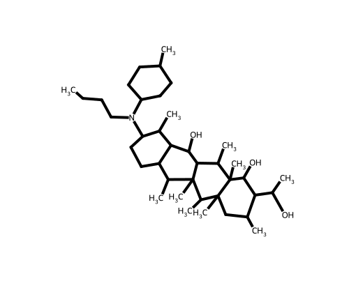 CCCCN(C1CCC(C)CC1)C1CCC2C(C1C)C(O)C1C(C)C3(C)C(O)C(C(C)O)C(C)CC3(C)C(C)C1(C)C2C